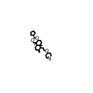 C=C1CCC2C(C)(CCC3O[C@H](C4CCCC4)OC[C@]32C)C1CCOC1CCN(C)CC1